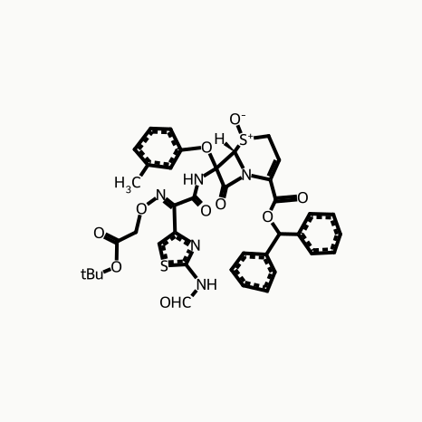 Cc1cccc(OC2(NC(=O)C(=NOCC(=O)OC(C)(C)C)c3csc(NC=O)n3)C(=O)N3C(C(=O)OC(c4ccccc4)c4ccccc4)=CC[S+]([O-])[C@H]32)c1